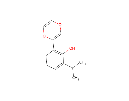 CC(C)C1=CCCC(C2=COC=CO2)=C1O